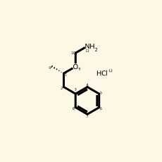 C[C@@H](Cc1ccccc1)OCN.Cl